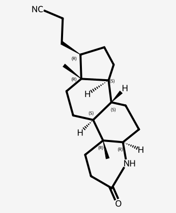 C[C@]12CCC(=O)N[C@@H]1CC[C@@H]1[C@@H]2CC[C@]2(C)[C@@H](CCC#N)CC[C@@H]12